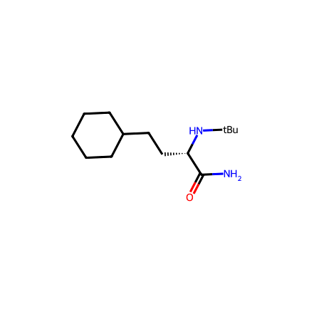 CC(C)(C)N[C@@H](CCC1CCCCC1)C(N)=O